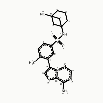 Cc1ccc(S(=O)(=O)NC23CCCC(C#N)(C2)C3)cc1-c1cnc2c(N)ncnn12